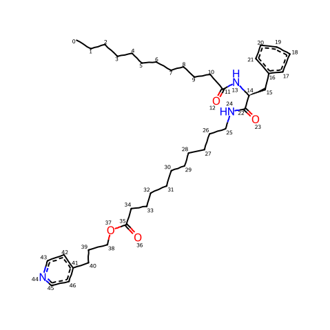 CCCCCCCCCCCC(=O)N[C@@H](Cc1ccccc1)C(=O)NCCCCCCCCCCC(=O)OCCCc1ccncc1